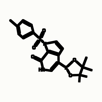 Cc1ccc(S(=O)(=O)n2ccc3c(B4OC(C)(C)C(C)(C)O4)c[nH]c(=O)c32)cc1